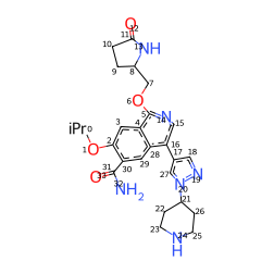 CC(C)Oc1cc2c(OCC3CCC(=O)N3)ncc(-c3cnn(C4CCNCC4)c3)c2cc1C(N)=O